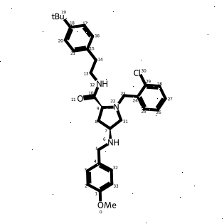 COc1ccc(CN[C@H]2C[C@@H](C(=O)NCCc3ccc(C(C)(C)C)cc3)N(Cc3ccccc3Cl)C2)cc1